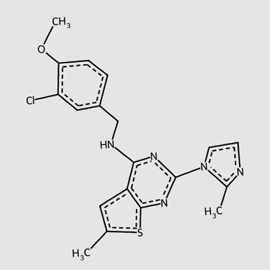 COc1ccc(CNc2nc(-n3ccnc3C)nc3sc(C)cc23)cc1Cl